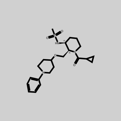 CS(=O)(=O)N[C@H]1CCCN(C(=O)C2CC2)[C@H]1COC1CCN(c2ccccc2)CC1